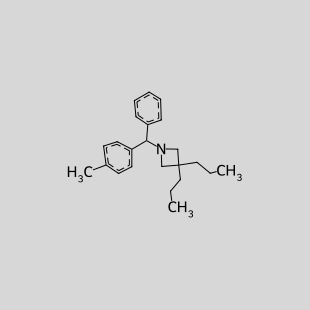 CCCC1(CCC)CN(C(c2ccccc2)c2ccc(C)cc2)C1